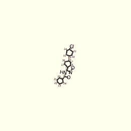 O=C(Nc1noc2cc(-c3ccc(Cl)cc3)ccc12)c1ccccc1